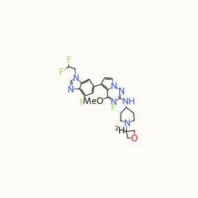 [2H]C1(N2CC[C@@H](Nc3nc(OC)c4c(-c5cc(F)c6ncn(CC(F)F)c6c5)ccn4n3)[C@@H](F)C2)COC1